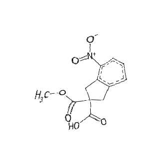 COC(=O)C1(C(=O)O)Cc2cccc([N+](=O)[O-])c2C1